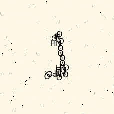 C[C@@H](NC(=O)CCOCCOCCOCCOCCNC(=O)CCN1C(=O)C=CC1=O)C(=O)N[C@H](C)C(=O)Nc1ccc(COC(=O)C(C)(C)C)cc1